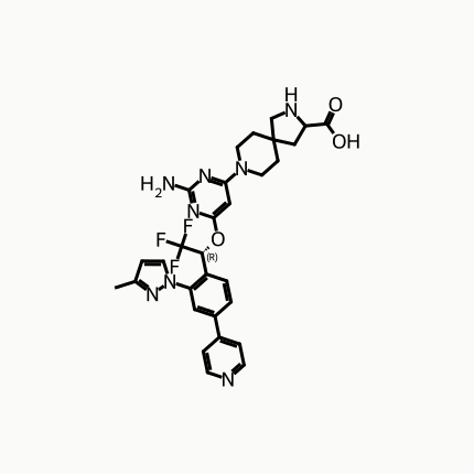 Cc1ccn(-c2cc(-c3ccncc3)ccc2[C@@H](Oc2cc(N3CCC4(CC3)CNC(C(=O)O)C4)nc(N)n2)C(F)(F)F)n1